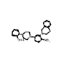 O=Cc1ccccc1N1CCN(c2ccc([N+](=O)[O-])c(N3CCc4ccccc4C3)c2)CC1